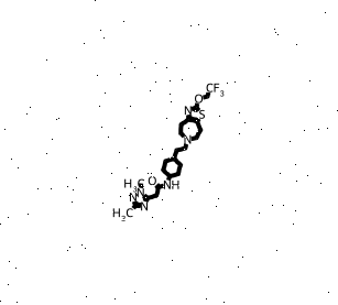 Cc1nc(CC(=O)NC2CCC(CCN3CCc4nc(OCC(F)(F)F)sc4CC3)CC2)n(C)n1